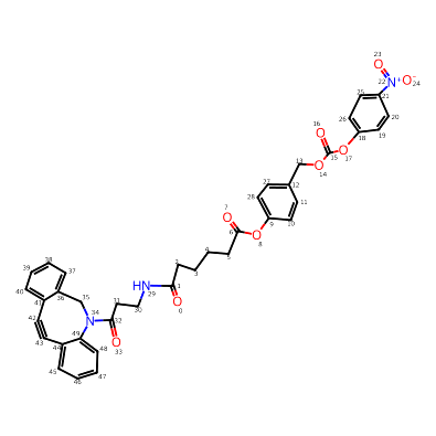 O=C(CCCCC(=O)Oc1ccc(COC(=O)Oc2ccc([N+](=O)[O-])cc2)cc1)NCCC(=O)N1Cc2ccccc2C#Cc2ccccc21